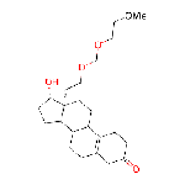 COCCOCOCC[C@]12CCC3C4=C(CCC3C1CC[C@@H]2O)CC(=O)CC4